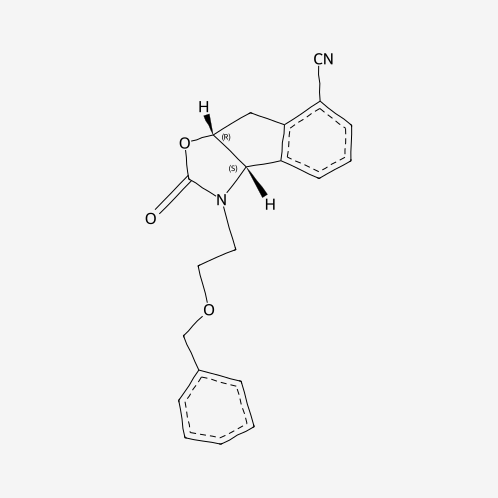 N#Cc1cccc2c1C[C@H]1OC(=O)N(CCOCc3ccccc3)[C@@H]21